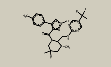 Cc1cnc(-c2cn(C)nc2C(=O)N2CC(F)(F)C[C@@H](C)C2CNc2ncc(C(F)(F)F)cn2)nc1